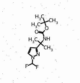 CC(C)(C)OC(=O)NC(C)(C)c1ccn(C(F)F)n1